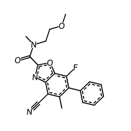 COCCN(C)C(=O)c1nc2c(C#N)c(C)c(-c3ccccc3)c(F)c2o1